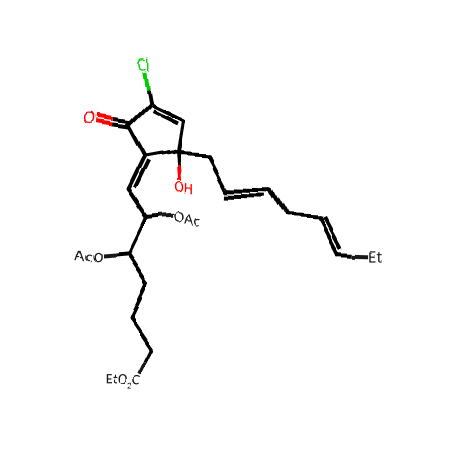 CCC=CCC=CCC1(O)C=C(Cl)C(=O)C1=CC(OC(C)=O)C(CCCC(=O)OCC)OC(C)=O